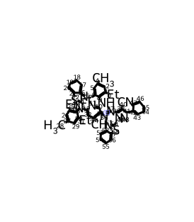 CCc1cc(C)cc(CC)c1Nc1nc(N(c2nc3ccccc3s2)c2c(CC)cc(C)cc2CC)cc(C)c1/N=N/c1c(C#N)c(-c2ccccc2)nn1-c1nc2ccccc2s1